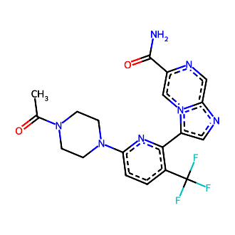 CC(=O)N1CCN(c2ccc(C(F)(F)F)c(-c3cnc4cnc(C(N)=O)cn34)n2)CC1